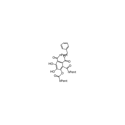 CCCCCC(=O)Oc1c(O)c(O)c(C(=O)CCCCC)c(C(=O)OCc2ccccc2)c1C(=O)CCCCC